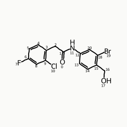 O=C(Cc1ccc(F)cc1Cl)Nc1ccc(CO)c(Br)c1